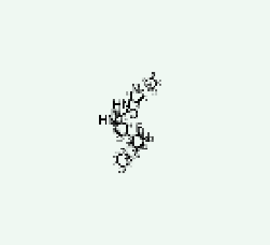 O=C(Nc1ccc(N2CCCC2)nc1)c1n[nH]c2ccc(-c3cc(CN4CCCCC4)cc(F)c3F)cc12